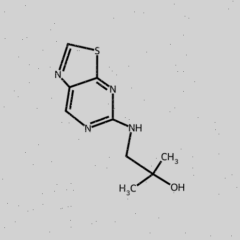 CC(C)(O)CNc1ncc2ncsc2n1